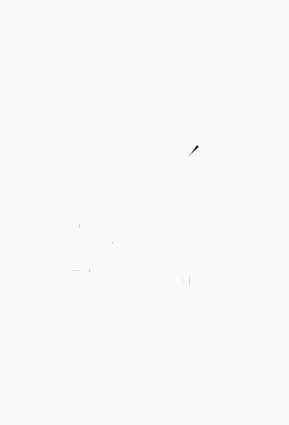 C[C@@H]1CC[C@@]23CC(C)(C)C[C@]2(C)CCC13